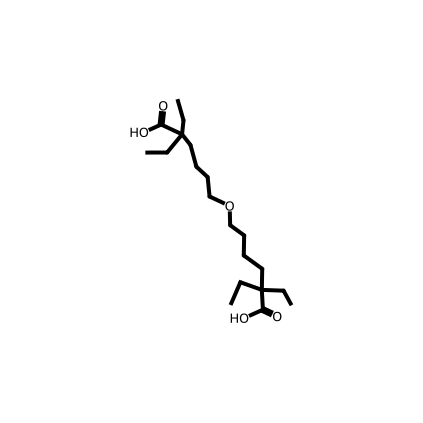 CCC(CC)(CCCCOCCCCC(CC)(CC)C(=O)O)C(=O)O